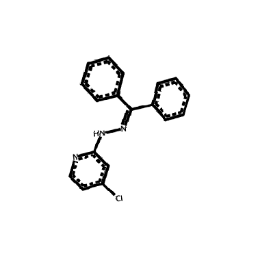 Clc1ccnc(NN=C(c2ccccc2)c2ccccc2)c1